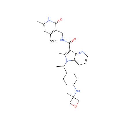 CSc1cc(C)[nH]c(=O)c1CNC(=O)c1c(C)n([C@H](C)C2CCC(NC3(C)COC3)CC2)c2cccnc12